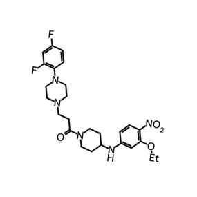 CCOc1cc(NC2CCN(C(=O)CCN3CCN(c4ccc(F)cc4F)CC3)CC2)ccc1[N+](=O)[O-]